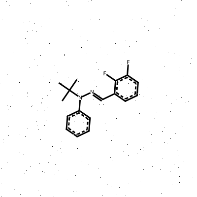 CC(C)(C)N(N=Cc1cccc(F)c1F)c1ccccc1